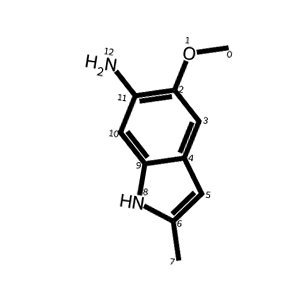 COc1cc2cc(C)[nH]c2cc1N